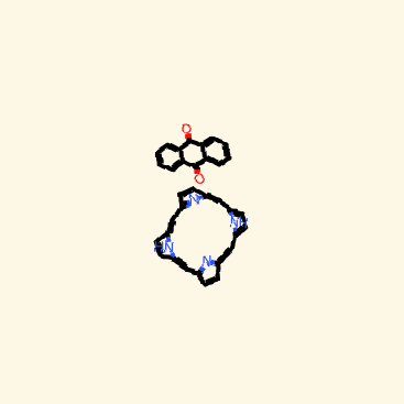 C1=Cc2cc3ccc(cc4nc(cc5ccc(cc1n2)[nH]5)C=C4)[nH]3.O=C1c2ccccc2C(=O)c2ccccc21